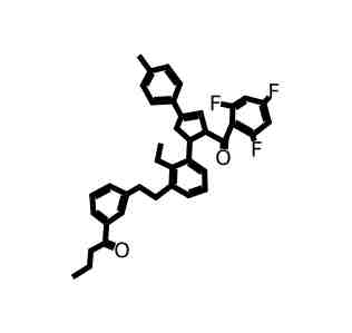 CCCC(=O)c1cccc(CCc2cccc(C3CC(c4ccc(C)cc4)=CC3C(=O)c3c(F)cc(F)cc3F)c2CC)c1